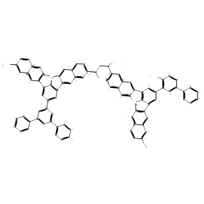 CC(C)c1ccc2cc3c(cc2c1)c1cc(-c2cc(-c4ccccc4)cc(-c4ccccc4)c2)cc2c4cc5cc(C(C)CC(C)c6ccc7cc8c(cc7c6)c6cc(-c7cc(-c9ccccc9)ccc7C(C)C)cc7c9cc%10cc(C(C)C)ccc%10cc9n8c76)ccc5cc4n3c12